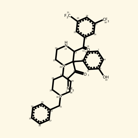 NCC(=O)C1(c2cccc(O)c2)C(C(=O)c2cc(C(F)(F)F)cc(C(F)(F)F)c2)NCCN1C1CCN(Cc2ccccc2)CC1